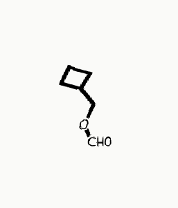 O=COCC1CCC1